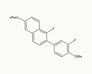 CCCCCc1ccc2c(F)c(-c3ccc(OC)c(F)c3)ccc2c1